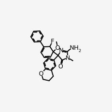 COC1(C2(c3ccc4c(c3)CCCO4)N=C(N)N(C)C2=O)C=CC=C(c2ccccc2)C1F